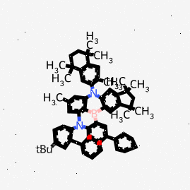 Cc1cc2c3c(c1)N(c1ccc(C(C)(C)C)cc1-c1ccccc1)c1ccc(-c4ccccc4)cc1B3c1cc3c(cc1N2c1cc2c(cc1C)C(C)(C)CCC2(C)C)C(C)(C)CC3(C)C